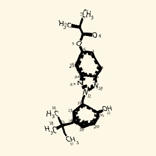 C=C(C)C(=O)Oc1ccc2nn(-c3cc(C(C)(C)C)ccc3O)nc2c1